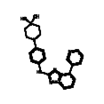 OS1(O)CCN(c2ccc(Nc3nc4cccc(-c5cccnc5)n4n3)cc2)CC1